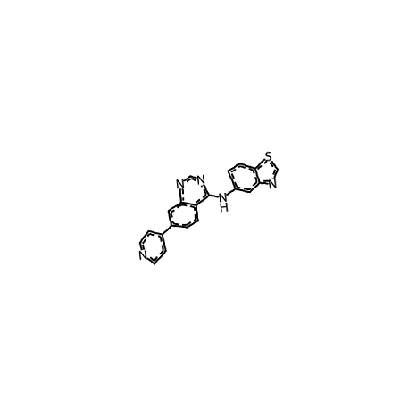 c1cc(-c2ccc3c(Nc4ccc5scnc5c4)ncnc3c2)ccn1